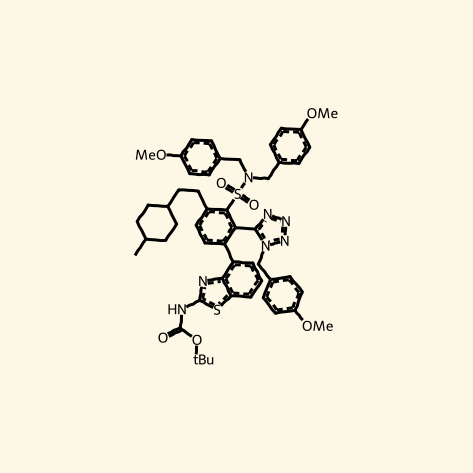 COc1ccc(CN(Cc2ccc(OC)cc2)S(=O)(=O)c2c(CCC3CCC(C)CC3)ccc(-c3cccc4sc(NC(=O)OC(C)(C)C)nc34)c2-c2nnnn2Cc2ccc(OC)cc2)cc1